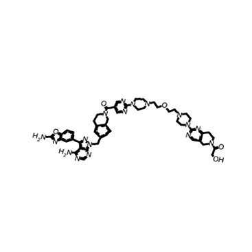 Nc1nc2cc(-c3nn(Cc4ccc5c(c4)CCN(C(=O)c4cnc(N6CCN(CCOCCN7CCN(c8ncc9c(n8)CCN(C(=O)CO)C9)CC7)CC6)nc4)C5)c4ncnc(N)c34)ccc2o1